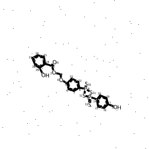 O=C(OCOc1ccc(P2(=S)SP(=S)(c3ccc(O)cc3)S2)cc1)c1ccccc1O